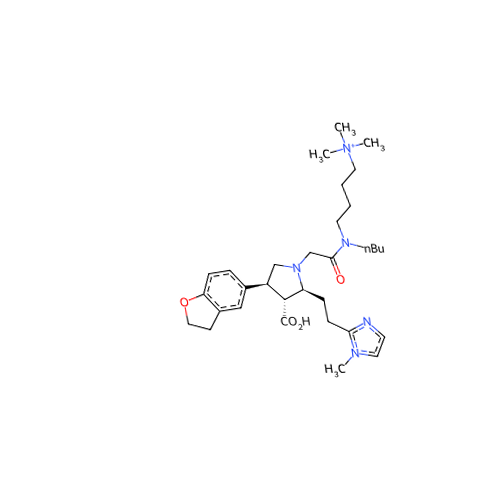 CCCCN(CCCC[N+](C)(C)C)C(=O)CN1C[C@H](c2ccc3c(c2)CCO3)[C@@H](C(=O)O)[C@@H]1CCc1nccn1C